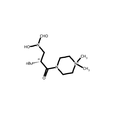 CCCC[C@H](CN(O)C=O)C(=O)N1CC[N+](C)(C)CC1